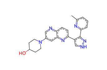 Cc1cccc(-c2n[nH]cc2-c2ccc3ncc(N4CCC(O)CC4)cc3n2)n1